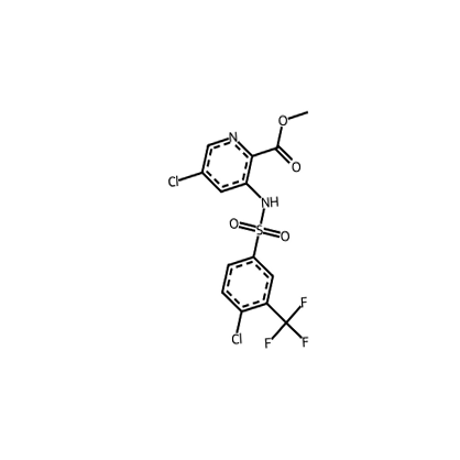 COC(=O)c1ncc(Cl)cc1NS(=O)(=O)c1ccc(Cl)c(C(F)(F)F)c1